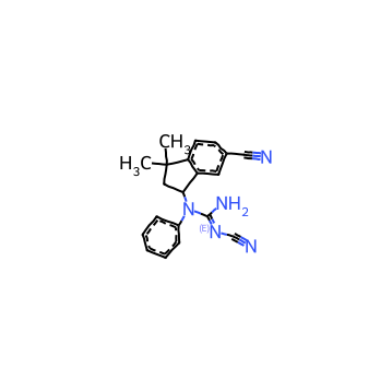 CC1(C)CC(N(/C(N)=N/C#N)c2ccccc2)c2cc(C#N)ccc21